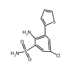 Nc1c(-c2cccs2)cc(Cl)cc1S(N)(=O)=O